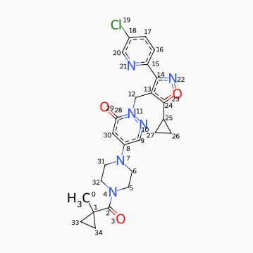 CC1(C(=O)N2CCN(c3cnn(Cc4c(-c5ccc(Cl)cn5)noc4C4CC4)c(=O)c3)CC2)CC1